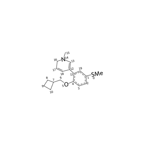 CSc1ccc(OCC2CCC2)c(C2=CN(C)CC=C2)c1